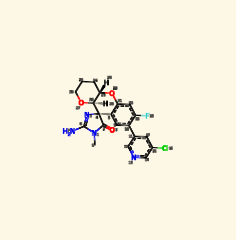 CN1C(=O)[C@]2(N=C1N)c1cc(-c3cncc(Cl)c3)c(F)cc1O[C@H]1CCCO[C@@H]12